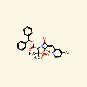 CC(=O)c1ccnc(/C=C2/C(=O)N3[C@@H](C(=O)OC(c4ccccc4)c4ccccc4)C(C)(C)S(=O)(=O)[C@H]23)c1